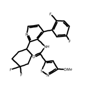 COc1cc(C(=O)Nc2c(-c3cc(F)ccc3F)ccnc2C2CCC(F)(F)CC2)sn1